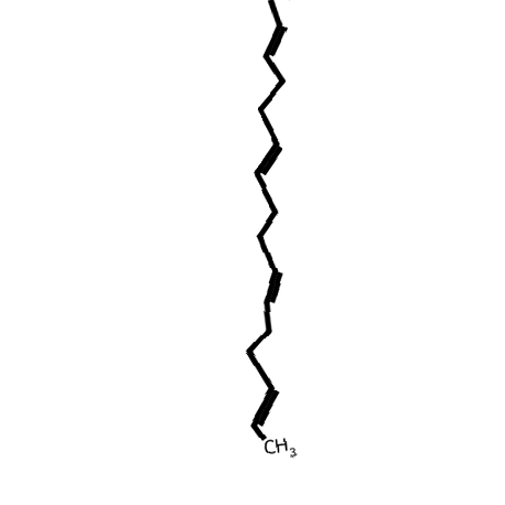 C/C=C/CC/C=C/CC/C=C/CC/C=C/C